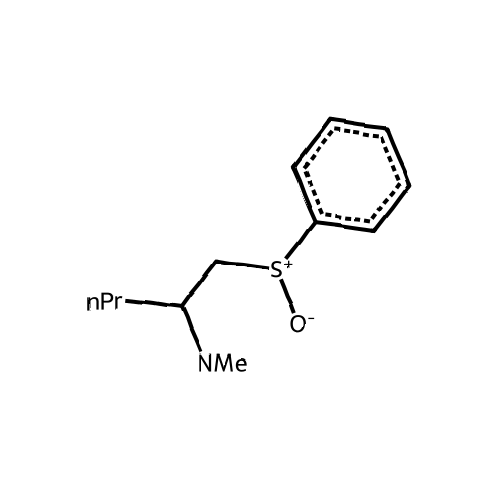 CCCC(C[S+]([O-])c1ccccc1)NC